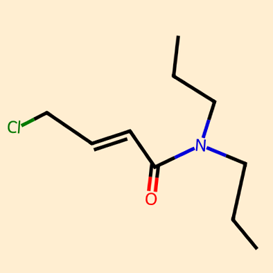 CCCN(CCC)C(=O)C=CCCl